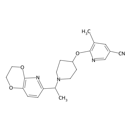 Cc1cc(C#N)cnc1OC1CCN(C(C)c2ccc3c(n2)OCCO3)CC1